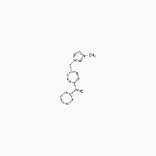 Cn1cc[n+](Cc2ccc(C(=O)c3ccccc3)cc2)c1